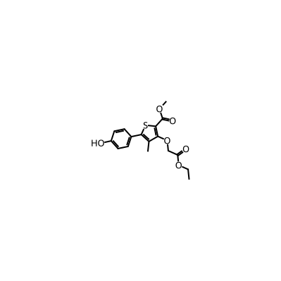 CCOC(=O)COc1c(C(=O)OC)sc(-c2ccc(O)cc2)c1C